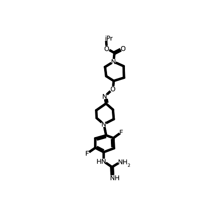 CC(C)OC(=O)N1CCC(ON=C2CCN(c3cc(F)c(NC(=N)N)cc3F)CC2)CC1